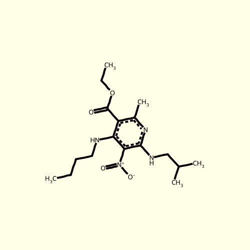 CCCCNc1c(C(=O)OCC)c(C)nc(NCC(C)C)c1[N+](=O)[O-]